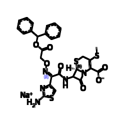 CSC1=C(C(=O)[O-])N2C(=O)C(NC(=O)/C(=N\OCC(=O)OC(c3ccccc3)c3ccccc3)c3csc(N)n3)[C@H]2SC1.[Na+]